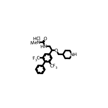 CNC(=O)NCC(OCC1CCNCC1)c1cc(C(F)(F)F)c(-c2ccccc2)c(C(F)(F)F)c1.Cl